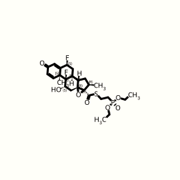 CCOP(=O)(CCSC(=O)[C@]12O[C@@]13C[C@H](O)[C@@]1(F)[C@@H](C[C@H](F)C4=CC(=O)C=C[C@@]41C)[C@@H]3C[C@H]2C)OCC